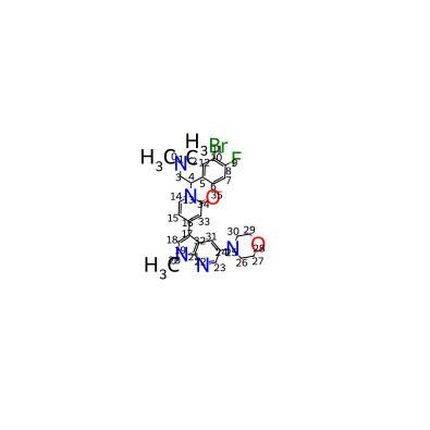 CN(C)CC(c1ccc(F)c(Br)c1)n1ccc(-c2cn(C)c3ncc(N4CCOCC4)cc23)cc1=O